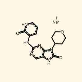 O=c1[nH]cccc1Nc1ncc2[nH]c(=O)n(C3CCOCC3)c2n1.[I-].[Na+]